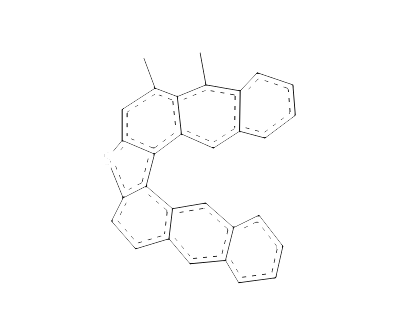 Cc1cc2sc3ccc4cc5ccccc5cc4c3c2c2cc3ccccc3c(C)c12